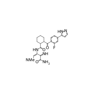 CN/C=C(/NC(=O)C1CCCCC1C(=O)c1ccc(-c2ccn[nH]2)cc1F)C(=N)C(N)=O